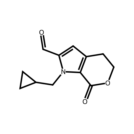 O=Cc1cc2c(n1CC1CC1)C(=O)OCC2